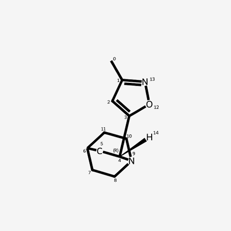 Cc1cc([C@H]2CC3CCN2CC3)on1